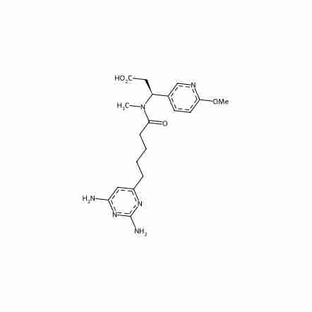 COc1ccc([C@H](CC(=O)O)N(C)C(=O)CCCCc2cc(N)nc(N)n2)cn1